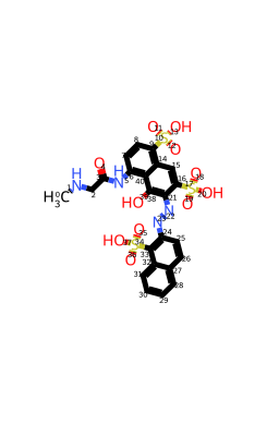 CNCC(=O)Nc1ccc(S(=O)(=O)O)c2cc(S(=O)(=O)O)c(N=Nc3ccc4ccccc4c3S(=O)(=O)O)c(O)c12